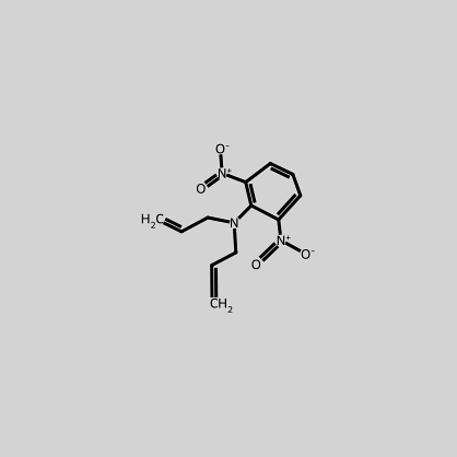 C=CCN(CC=C)c1c([N+](=O)[O-])cccc1[N+](=O)[O-]